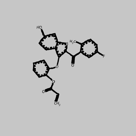 C=CC(=O)Oc1ccccc1Oc1c(C(=O)c2cc(F)ccc2C)sc2cc(O)ccc12